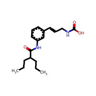 CCCC(CCC)C(=O)Nc1cccc(C=CCNC(=O)O)c1